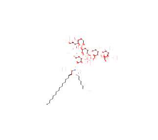 CCCCCCCCCCCCCCC/C=C/[C@@H](O)[C@H](CO[C@@H]1OC(CO)[C@@H](O[C@@H]2OC(CO)[C@H](O[C@@H]3OC(CO)[C@H](O)[C@H](O[C@@H]4OC(CO)[C@H](O)[C@H](O)C4O)C3C)[C@H](OC3C[C@@H](O)[C@@H](C)C([C@H](O)[C@H](O)CO)O3)C2O)[C@H](O)C1O)NC(=O)CCCCCCC